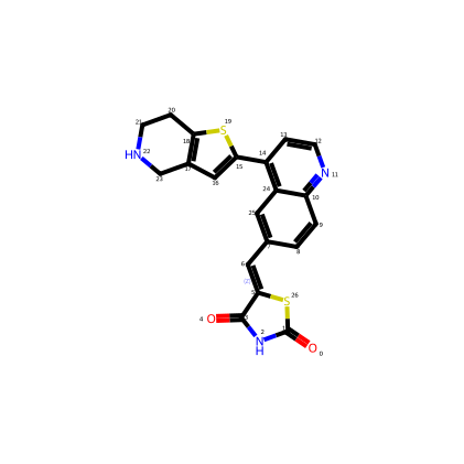 O=C1NC(=O)/C(=C/c2ccc3nccc(-c4cc5c(s4)CCNC5)c3c2)S1